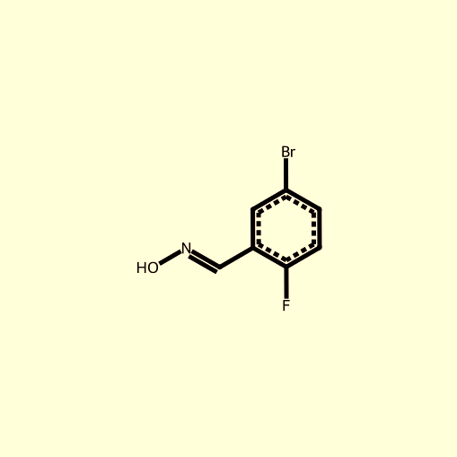 ON=Cc1cc(Br)ccc1F